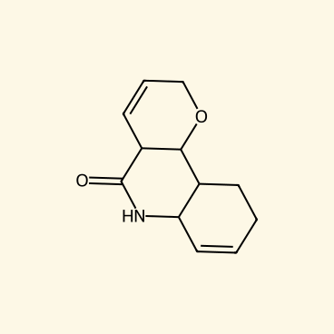 O=C1NC2C=CCCC2C2OCC=CC12